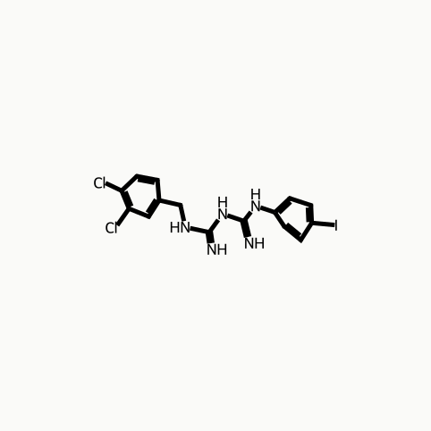 N=C(NCc1ccc(Cl)c(Cl)c1)NC(=N)Nc1ccc(I)cc1